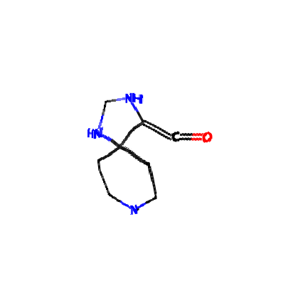 O=C=C1NCNC12CC[N]CC2